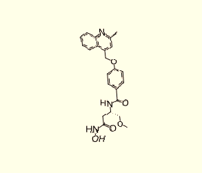 COC[C@H](CC(=O)NO)NC(=O)c1ccc(OCc2cc(C)nc3ccccc23)cc1